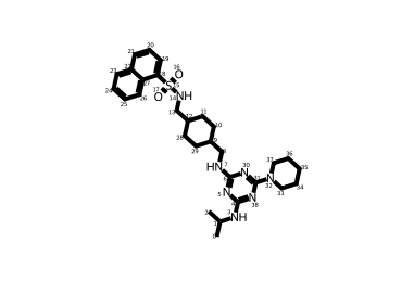 CC(C)Nc1nc(NCC2CCC(CNS(=O)(=O)c3cccc4ccccc34)CC2)nc(N2CCCCC2)n1